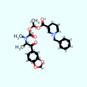 CC(OC(=O)C1=CN(Cc2ccccc2)C=CC1)OC(=O)N(C)C(C)C(=O)c1ccc2c(c1)OCO2